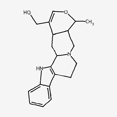 CC1OC=C(CO)C2CC3c4[nH]c5ccccc5c4CCN3CC12